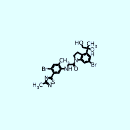 Cc1nsc(-c2cc(NCC(=O)N3CCc4c3cc(Br)cc4C(C)(O)CO)c(C)cc2Br)n1